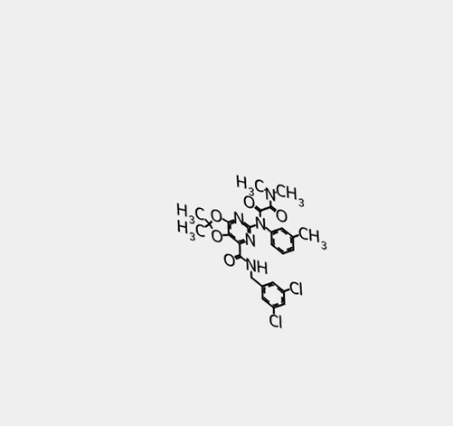 Cc1cccc(N(C(=O)C(=O)N(C)C)c2nc3c(c(C(=O)NCc4cc(Cl)cc(Cl)c4)n2)OC(C)(C)O3)c1